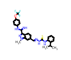 CC(C)c1ccccc1NC(=S)N/N=C/c1ccc2c(C(=N)Nc3ccc(OC(F)(F)F)cc3)nn(C)c2c1